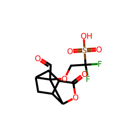 O=CC1(OCC(F)(F)S(=O)(=O)O)C2CC3C(=O)OC1C3C2